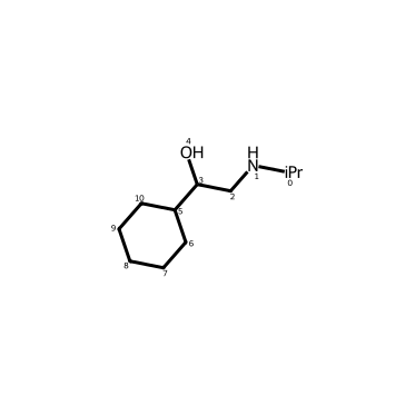 CC(C)NCC(O)C1CCCCC1